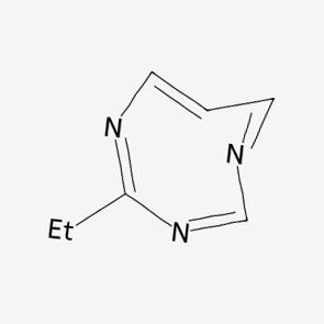 CCC1=N/C=C/C=N/C=N\1